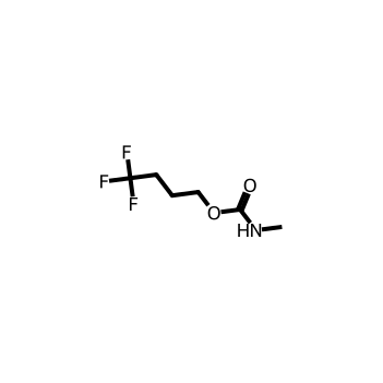 CNC(=O)OCCCC(F)(F)F